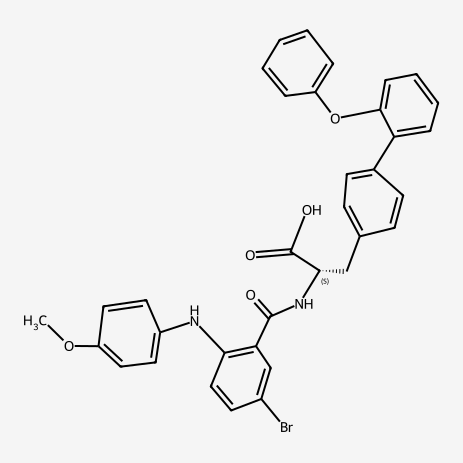 COc1ccc(Nc2ccc(Br)cc2C(=O)N[C@@H](Cc2ccc(-c3ccccc3Oc3ccccc3)cc2)C(=O)O)cc1